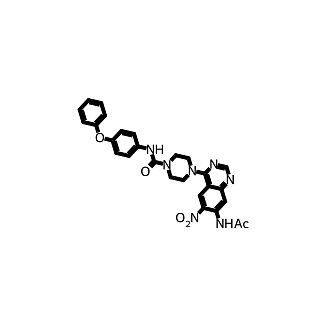 CC(=O)Nc1cc2ncnc(N3CCN(C(=O)Nc4ccc(Oc5ccccc5)cc4)CC3)c2cc1[N+](=O)[O-]